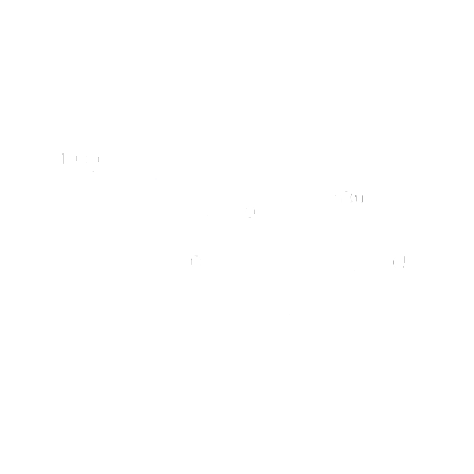 CCCCC1C(Cl)CCCC1OC(=O)/C=C/C(=O)O